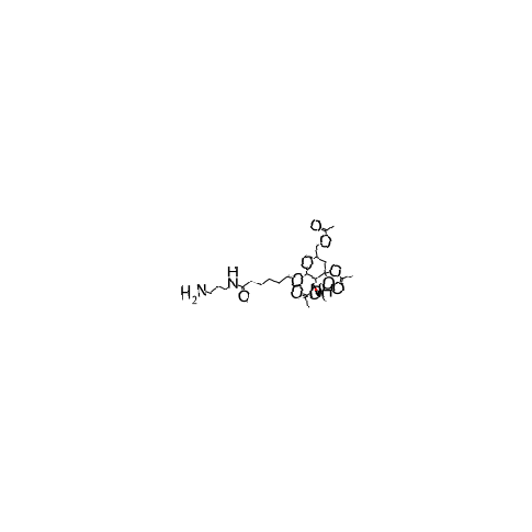 CC(=O)NC1C(OCCCCCC(=O)NCCCN)OC(COC(C)=O)CC1(OC(C)=O)OC(C)=O